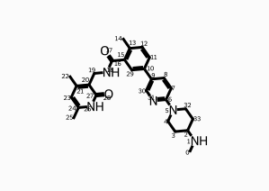 CNC1CCN(c2ccc(-c3ccc(C)c(C(=O)NCc4c(C)cc(C)[nH]c4=O)c3)cn2)CC1